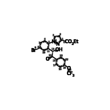 CCOC(=O)c1ccn(-c2ccc(Br)cc2C(O)C(=O)c2ccc(OC(F)(F)F)cc2)n1